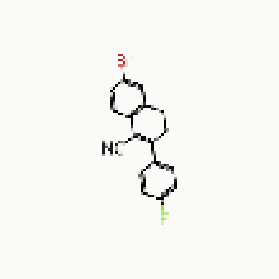 N#CC1=C(c2ccc(F)cc2)CCc2cc(Br)ccc21